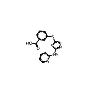 O=C(O)c1cccc(Sc2cnc(Nc3ccccn3)s2)c1